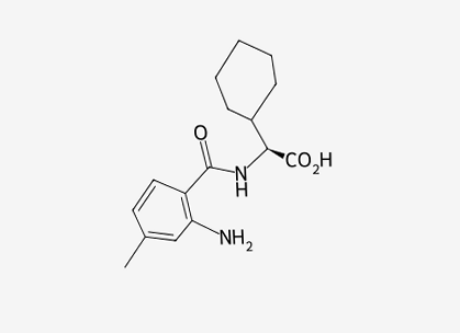 Cc1ccc(C(=O)N[C@H](C(=O)O)C2CCCCC2)c(N)c1